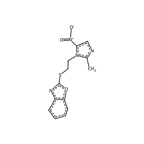 Cc1ncc([N+](=O)[O-])n1CCSc1nc2ccccc2o1